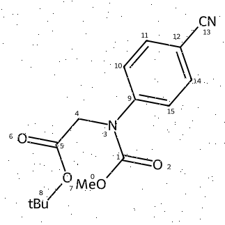 COC(=O)N(CC(=O)OC(C)(C)C)c1ccc(C#N)cc1